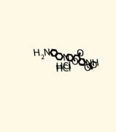 CS(=O)(=O)Nc1ccc2c(c1)C(=O)CC1(CCN([C@@H]3CCc4cc(N)ccc4C3)CC1)O2.Cl.Cl